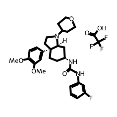 COc1ccc([C@@]23CC[C@@H](NC(=O)Nc4cccc(F)c4)C[C@@H]2N(C2CCOCC2)CC3)cc1OC.O=C(O)C(F)(F)F